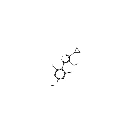 COc1cc(Cl)c(-c2noc(C3CC3)c2CCl)c(I)c1